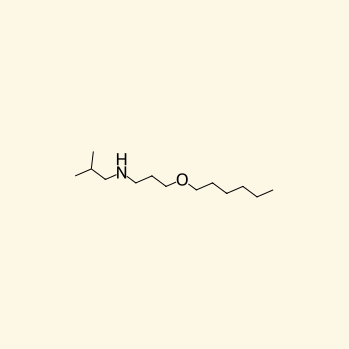 CCCCCCOCCCNCC(C)C